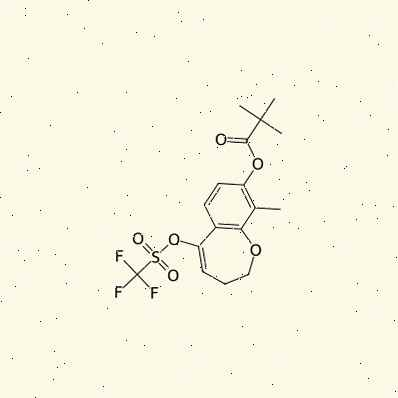 Cc1c(OC(=O)C(C)(C)C)ccc2c1OCCC=C2OS(=O)(=O)C(F)(F)F